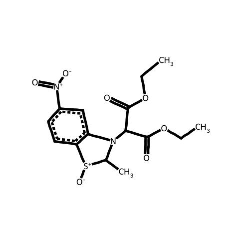 CCOC(=O)C(C(=O)OCC)N1c2cc([N+](=O)[O-])ccc2[S+]([O-])C1C